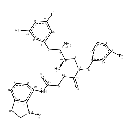 CCc1cccc(CN(C[C@@H](O)[C@@H](N)Cc2cc(F)cc(F)c2)C(=O)CCC(=O)Nc2cccc3c2N(C(C)=O)CC3)c1